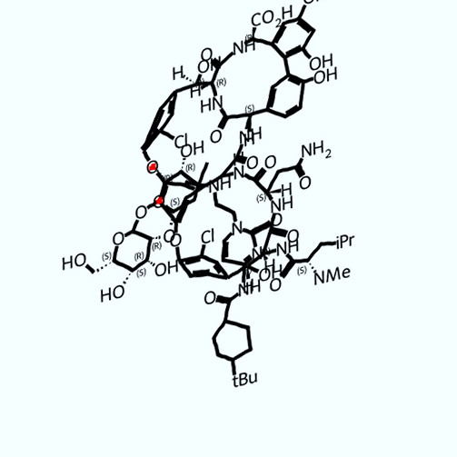 CN[C@@H](CC(C)C)C(=O)N[C@H]1C(=O)N[C@@H](CC(N)=O)C(=O)NC2C(=O)N[C@@H]3C(=O)N[C@@H](C(=O)N[C@@H](C(=O)O)c4cc(O)cc(O)c4-c4cc3ccc4O)[C@H](O)c3ccc(c(Cl)c3)Oc3cc2cc(c3OC2O[C@@H](CO)[C@@H](O)[C@@H](O)[C@H]2O[C@H]2CC(C)(NCCn3ccc(NC(=O)C4CCC(C(C)(C)C)CC4)nc3=O)[C@@H](O)[C@@H](C)O2)Oc2ccc(cc2Cl)[C@H]1O